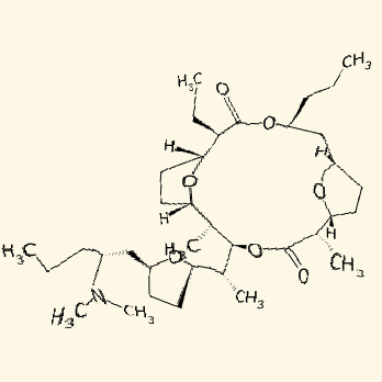 CCC[C@H]1C[C@@H]2CC[C@@H](O2)[C@H](C)C(=O)O[C@@H]([C@H](C)[C@H]2CC[C@@H](C[C@@H](CCC)N(C)C)O2)[C@H](C)[C@@H]2CC[C@@H](O2)[C@@H](CC)C(=O)O1